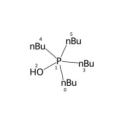 CCCCP(O)(CCCC)(CCCC)CCCC